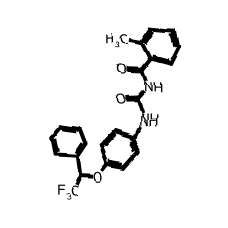 Cc1ccccc1C(=O)NC(=O)Nc1ccc(OC(c2ccccc2)C(F)(F)F)cc1